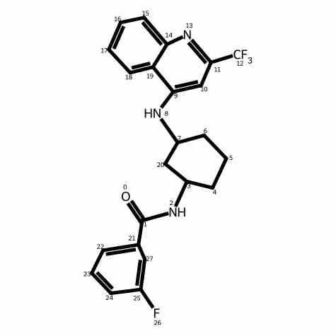 O=C(NC1CCCC(Nc2cc(C(F)(F)F)nc3ccccc23)C1)c1cccc(F)c1